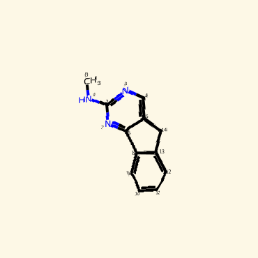 CNc1ncc2c(n1)-c1ccccc1C2